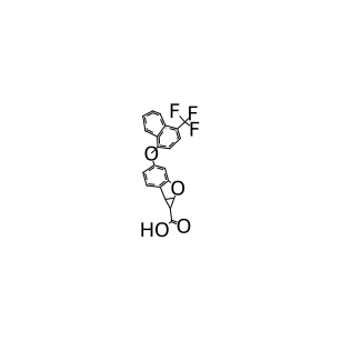 O=C(O)C1C2Oc3cc(Oc4ccc(C(F)(F)F)c5ccccc45)ccc3C21